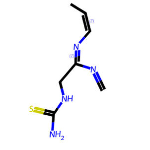 C=N/C(CNC(N)=S)=N\C=C/C